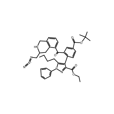 CCCCc1c(-c2ccc(C(=O)OC(C)(C)C)cc2C(=O)c2cccc3c2CC(CN=[N+]=[N-])NC3)c(C(=O)OCC)nn1-c1ccccc1